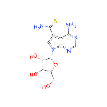 NC(=S)c1cn([C@@H]2OC(CO)C(O)[C@@H]2O)c2ncnc(N)c12